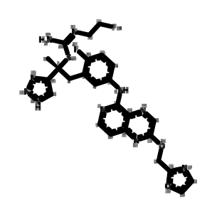 C[C@](Cc1cc(Nc2nccc3nc(OCc4ncco4)cnc23)ccc1F)(S/C(N)=N\CCF)c1c[nH]nn1